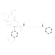 COc1ccc(C(=O)CCCCCC(=O)N[C@H](CN(C)CC(C)C(C)C)[C@H](O)c2ccc3c(c2)OCCO3)cc1